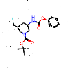 CC(C)(C)OC(=O)N1CC(CF)CC(NC(=O)Oc2ccccc2)C1